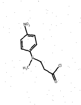 CN(CCC(=O)Cl)c1ccc([N+](=O)[O-])cc1